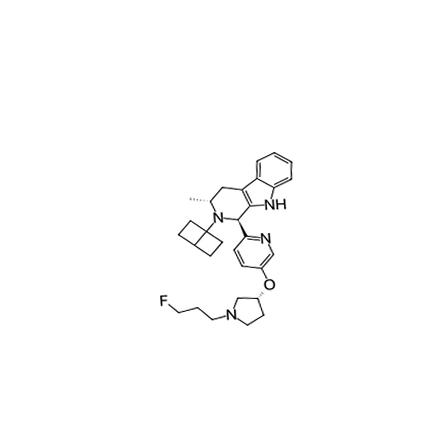 C[C@@H]1Cc2c([nH]c3ccccc23)[C@@H](c2ccc(O[C@@H]3CCN(CCCF)C3)cn2)N1C12CCC1CC2